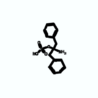 NC(Cc1ccccc1)(Cc1ccccc1)OS(=O)(=O)O